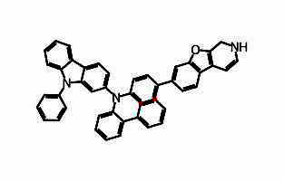 C1=Cc2c(oc3cc(-c4ccc(N(c5ccc6c7ccccc7n(-c7ccccc7)c6c5)c5ccccc5-c5ccccc5)cc4)ccc23)CN1